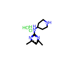 Cc1cc(C)nc(NC2CCNCC2)n1.Cl.Cl